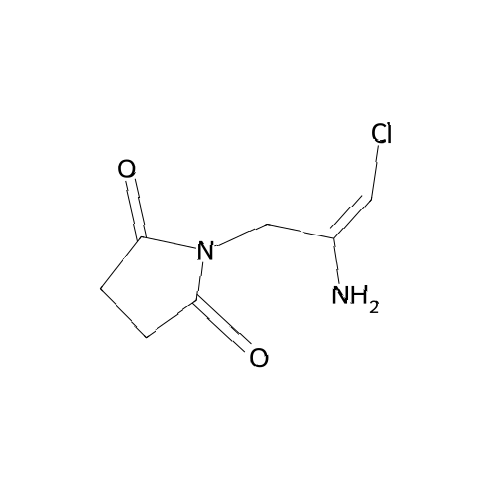 N/C(=C/Cl)CN1C(=O)CCC1=O